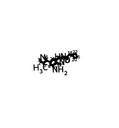 Cc1ccncc1-c1cc(N)c2cnc(NC(=O)C=C3CCC3)cc2c1